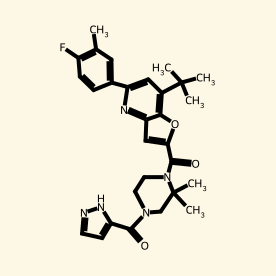 Cc1cc(-c2cc(C(C)(C)C)c3oc(C(=O)N4CCN(C(=O)c5ccn[nH]5)CC4(C)C)cc3n2)ccc1F